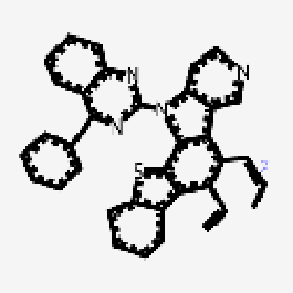 C=Cc1c(/C=C\C)c2c3cnccc3n(-c3nc(-c4ccccc4)c4ccccc4n3)c2c2sc3ccccc3c12